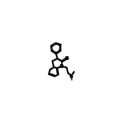 CN(C)CCN1C(=O)C(c2ccccc2)CC2CC=CC=C21